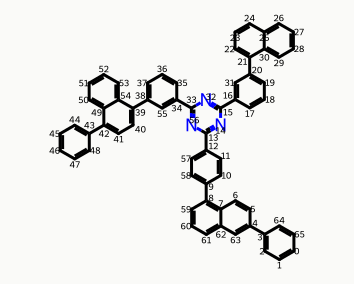 c1ccc(-c2ccc3c(-c4ccc(-c5nc(-c6cccc(-c7cccc8ccccc78)c6)nc(-c6cccc(-c7ccc(-c8ccccc8)c8ccccc78)c6)n5)cc4)cccc3c2)cc1